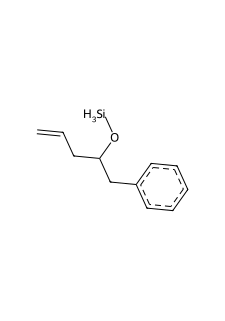 C=CCC(Cc1ccccc1)O[SiH3]